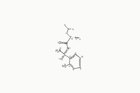 CC(C)C[C@H](N)C(=O)N=S(N)(=O)c1ccccc1O